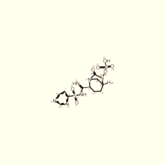 N=C(NS(=O)(=O)c1ccncn1)[C@@H]1CC[C@@H]2CN1C(=O)N2OS(=O)(=O)O